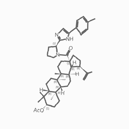 C=C(C)[C@@H]1CC[C@]2(C(=O)N3CCC[C@H]3c3ncc(-c4ccc(C)cc4)[nH]3)CC[C@]3(C)[C@H](CC[C@@H]4[C@@]5(C)CC[C@H](OC(C)=O)C(C)(C)[C@@H]5CC[C@]43C)[C@@H]12